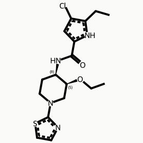 CCO[C@H]1CN(c2nccs2)CC[C@H]1NC(=O)c1cc(Cl)c(CC)[nH]1